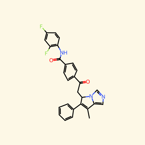 CC1=C(c2ccccc2)C(CC(=O)c2ccc(C(=O)Nc3ccc(F)cc3F)cc2)n2cncc21